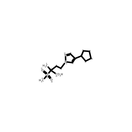 CC(CCn1cc(C2CCCC2)cn1)(C(=O)O)S(C)(=O)=O